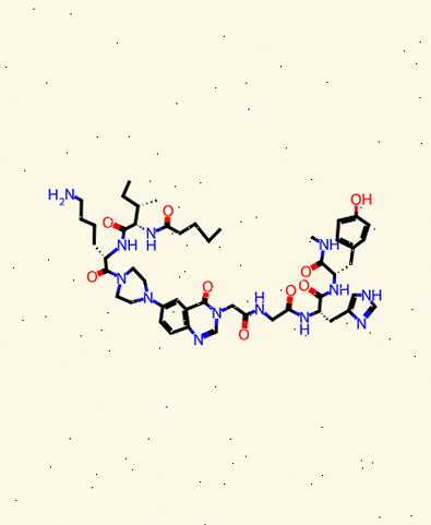 CCCCC(=O)N[C@H](C(=O)N[C@@H](CCCCN)C(=O)N1CCN(c2ccc3ncn(CC(=O)NCC(=O)N[C@@H](Cc4c[nH]cn4)C(=O)N[C@@H](Cc4ccc(O)cc4)C(=O)NC)c(=O)c3c2)CC1)[C@@H](C)CC